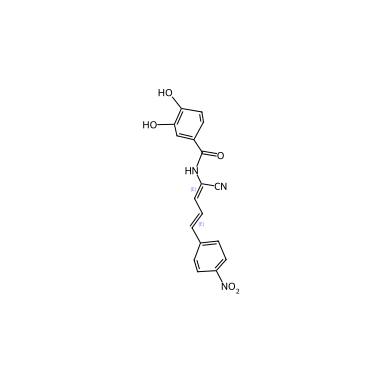 N#C/C(=C\C=C\c1ccc([N+](=O)[O-])cc1)NC(=O)c1ccc(O)c(O)c1